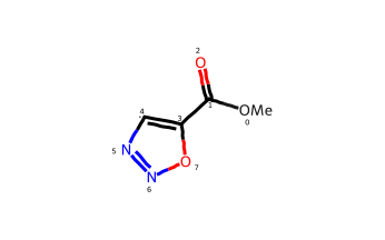 COC(=O)c1[c]nno1